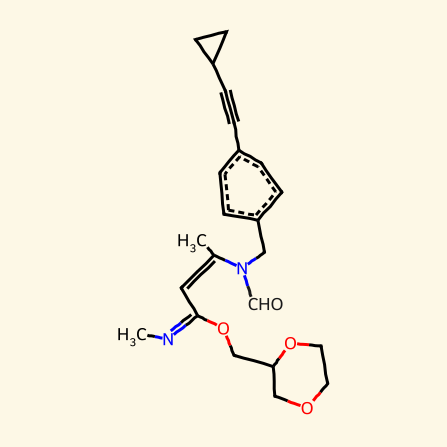 C/N=C(\C=C(\C)N(C=O)Cc1ccc(C#CC2CC2)cc1)OCC1COCCO1